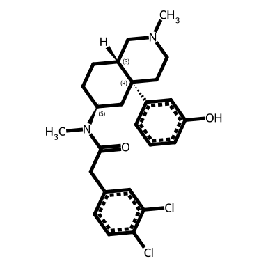 CN1CC[C@@]2(c3cccc(O)c3)C[C@@H](N(C)C(=O)Cc3ccc(Cl)c(Cl)c3)CC[C@@H]2C1